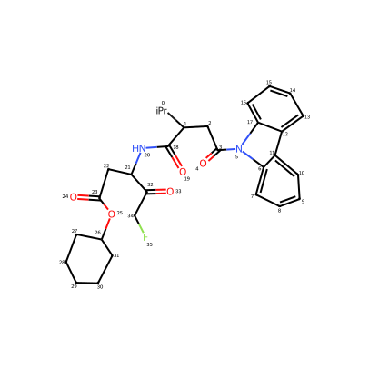 CC(C)C(CC(=O)n1c2ccccc2c2ccccc21)C(=O)NC(CC(=O)OC1CCCCC1)C(=O)CF